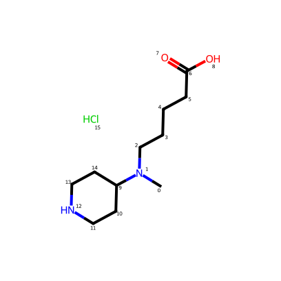 CN(CCCCC(=O)O)C1CCNCC1.Cl